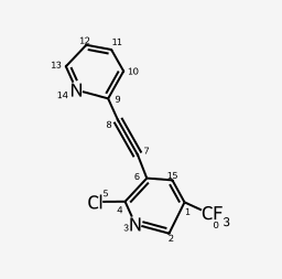 FC(F)(F)c1cnc(Cl)c(C#Cc2ccccn2)c1